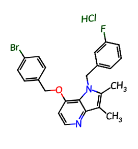 Cc1c(C)n(Cc2cccc(F)c2)c2c(OCc3ccc(Br)cc3)ccnc12.Cl